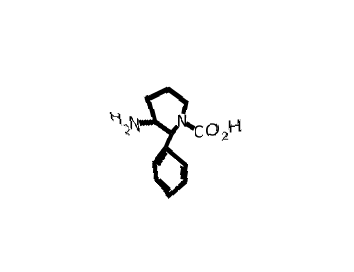 NC1CCCN(C(=O)O)C1c1ccccc1